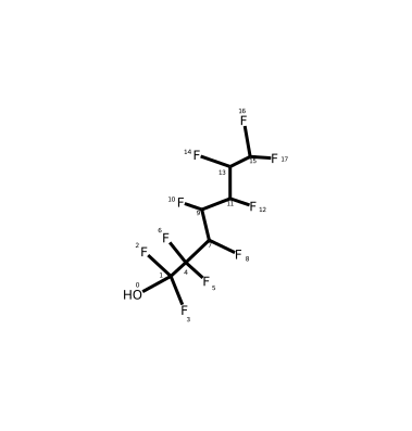 OC(F)(F)C(F)(F)C(F)C(F)C(F)C(F)C(F)F